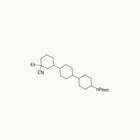 CCCCCC1CCC(C2CCC(C3CCCC(C#N)(CC)C3)CC2)CC1